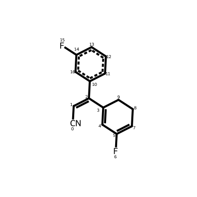 N#C/C=C(\C1=CC(F)=CCC1)c1cccc(F)c1